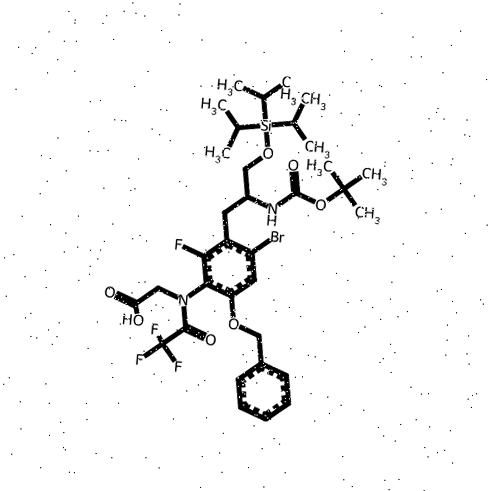 CC(C)[Si](OCC(Cc1c(Br)cc(OCc2ccccc2)c(N(CC(=O)O)C(=O)C(F)(F)F)c1F)NC(=O)OC(C)(C)C)(C(C)C)C(C)C